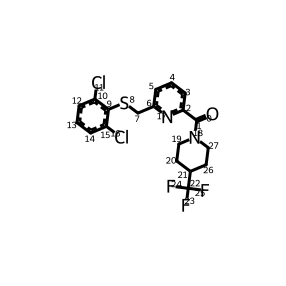 O=C(c1cccc(CSc2c(Cl)cccc2Cl)n1)N1CCC(C(F)(F)F)CC1